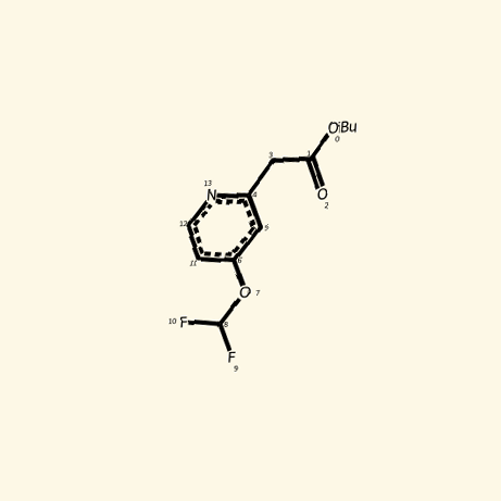 CC(C)COC(=O)Cc1cc(OC(F)F)ccn1